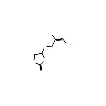 CS/C=C(/F)COC1COC(=O)O1